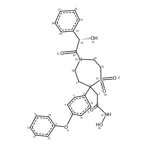 O=C(CC1(c2ccc(Oc3ccccc3)cc2)CCN(C(=O)[C@@H](O)c2ccccc2)CCS1(=O)=O)NO